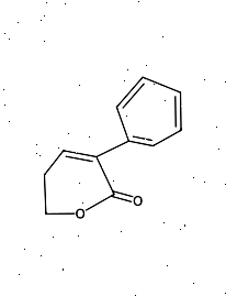 O=C1OCCC=C1c1ccccc1